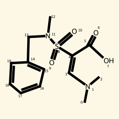 CN(C)C=C(C(=O)O)S(=O)(=O)N(C)Cc1ccccc1